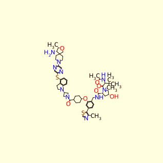 CC(=O)N[C@H](C(=O)N1C[C@H](O)C[C@H]1C(=O)NCc1ccc(-c2scnc2C)cc1OC1CCC(C(=O)N2CC(N3CCc4c(Sc5cnc(N6CCC7(CC6)CO[C@@H](C)[C@H]7N)cn5)cccc43)C2)CC1)C(C)(C)C